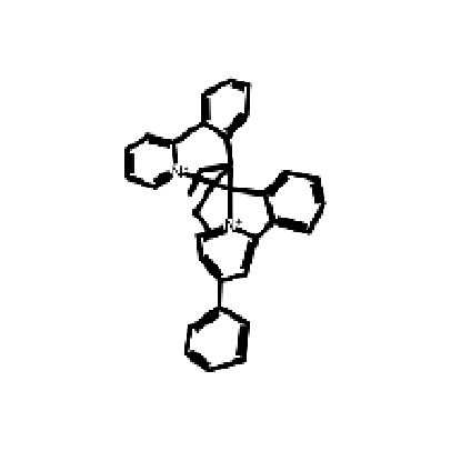 CCC12c3ccccc3-c3cccc[n+]3C1(CC)C21c2ccccc2-c2cc(-c3ccccc3)cc[n+]21